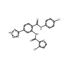 O=C(Nc1ccc(Cl)cc1)c1ccc(-c2nn[nH]n2)cc1NC(=O)c1sccc1Cl